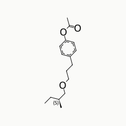 CC[C@H](C)COCCCc1ccc(OC(C)=O)cc1